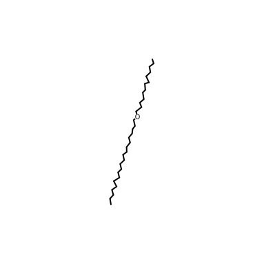 CCCCCCCCCCCCCCCCCCCCOCCCCCCCCCCCCC